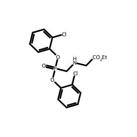 CCOC(=O)CNCP(=O)(Oc1ccccc1Cl)Oc1ccccc1Cl